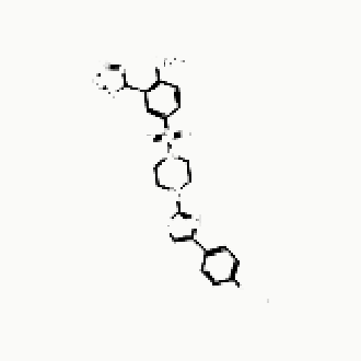 COc1ccc(S(=O)(=O)N2CCN(c3nc(-c4ccc(C)cc4)cs3)CC2)cc1C1N=NN=N1